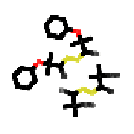 CCC(SSC(CC)[Si](C)(C)OC)[Si](C)(C)OC.CCC(SSC(CC)[Si](C)(C)OC1CCCCC1)[Si](C)(C)OC1CCCCC1